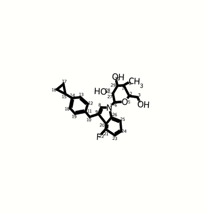 CC1C(CO)OC(n2cc(Cc3ccc(C4CC4)cc3)c3c(F)cccc32)[C@H](O)C1O